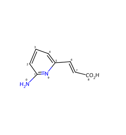 Nc1cccc(/C=C/C(=O)O)n1